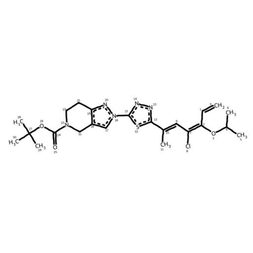 C=C/C(OC(C)C)=C(Cl)\C=C(/C)c1nnc(-n2cc3c(n2)CCN(C(=O)OC(C)(C)C)C3)s1